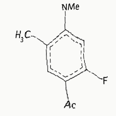 CNc1cc(F)c(C(C)=O)cc1C